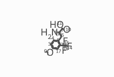 COc1ccc(C[C@H](N)C(=O)O)c(C(F)(F)F)c1